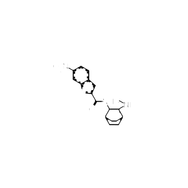 O=C(NC1C2CCC(CC2)[C@@]12CN2)c1cc2ccc([N+](=O)[O-])cc2s1